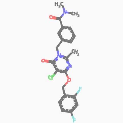 Cc1nc(OCc2ccc(F)cc2F)c(Cl)c(=O)n1Cc1cccc(C(=O)N(C)C)c1